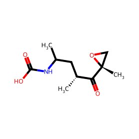 CC(C[C@@H](C)C(=O)[C@@]1(C)CO1)NC(=O)O